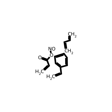 C=CC(=O)ON=O.C=CC=C.C=Cc1ccccc1